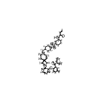 C=CC(=O)N[C@@H]1CCCN(S(=O)(=O)N2CCC(CN3CCC4(CC3)CN(c3ncnnc3Oc3ccc(F)cc3C(=O)N(C(C)C)C(C)C)C4)CC2)C1